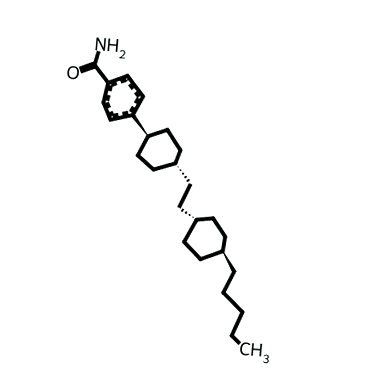 CCCCC[C@H]1CC[C@H](CC[C@H]2CC[C@H](c3ccc(C(N)=O)cc3)CC2)CC1